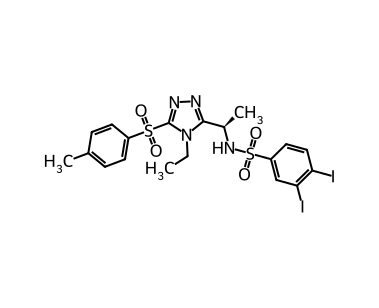 CCn1c([C@@H](C)NS(=O)(=O)c2ccc(I)c(I)c2)nnc1S(=O)(=O)c1ccc(C)cc1